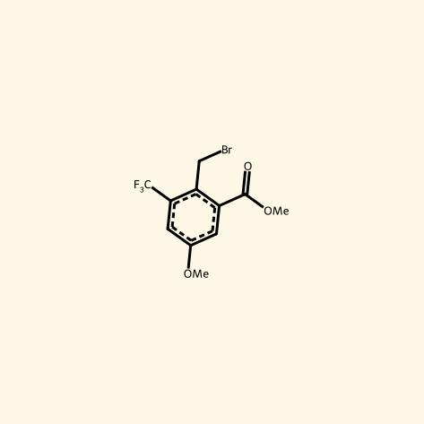 COC(=O)c1cc(OC)cc(C(F)(F)F)c1CBr